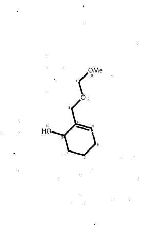 COCOCC1=CCCCC1O